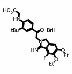 Br.CCOc1cc2c(c(F)c1OCC)C(=N)N(CC(=O)c1ccc(NCC(=O)O)c(C(C)(C)C)c1)C2